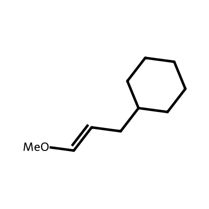 COC=CCC1CCCCC1